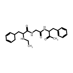 CCNC(CC1C=CC=CC1)C(=O)NCC(=O)NC(Cc1ccccc1)C(C)=O